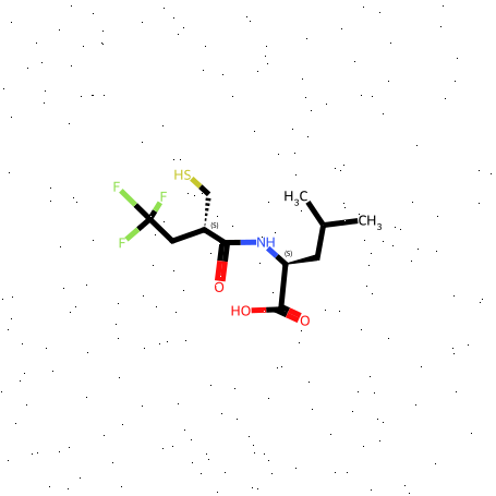 CC(C)C[C@H](NC(=O)[C@@H](CS)CC(F)(F)F)C(=O)O